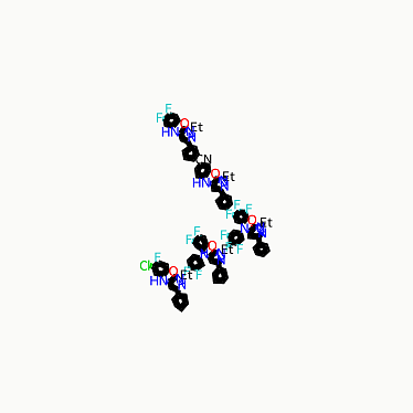 CCn1nc(-c2ccccc2)cc(N(c2cc(F)c(F)c(F)c2)c2cc(F)c(F)c(F)c2)c1=O.CCn1nc(-c2ccccc2)cc(N(c2ccc(F)c(F)c2)c2ccc(F)c(F)c2)c1=O.CCn1nc(-c2ccccc2)cc(Nc2ccc(C#N)cc2)c1=O.CCn1nc(-c2ccccc2)cc(Nc2ccc(F)c(Cl)c2)c1=O.CCn1nc(-c2ccccc2)cc(Nc2ccc(F)c(F)c2)c1=O